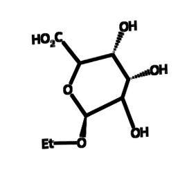 CCO[C@H]1OC(C(=O)O)[C@H](O)[C@H](O)C1O